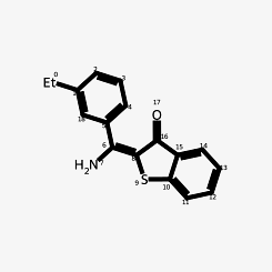 CCc1cccc(C(N)=C2Sc3ccccc3C2=O)c1